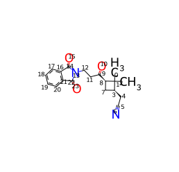 CC1(C)[C@@H](CC#N)C[C@H]1C(=O)CCN1C(=O)c2ccccc2C1=O